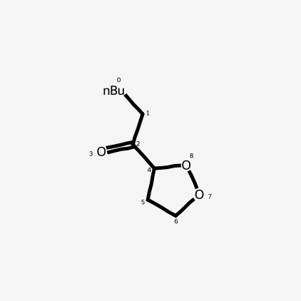 CCCCCC(=O)C1CCOO1